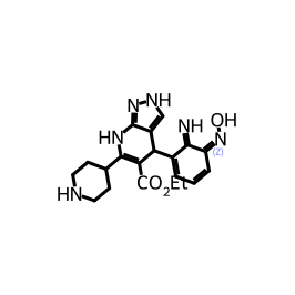 CCOC(=O)C1=C(C2CCNCC2)Nc2n[nH]cc2C1C1=CC=C/C(=N/O)C1=N